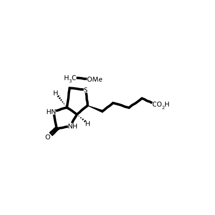 COC.O=C(O)CCCC[C@@H]1SC[C@@H]2NC(=O)N[C@@H]21